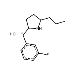 CCCC1CCC([C@@H](O)c2cccc(F)c2)N1